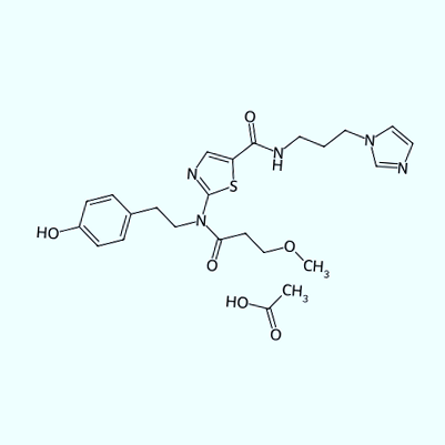 CC(=O)O.COCCC(=O)N(CCc1ccc(O)cc1)c1ncc(C(=O)NCCCn2ccnc2)s1